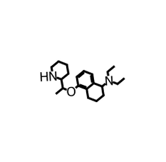 CCN(CC)C1CCCc2c(OC(C)C3CCCCN3)cccc21